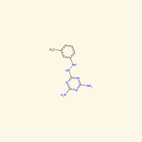 Cc1cccc(NNc2nc(N)nc(N)n2)c1